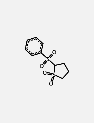 O=S1(=O)CCCC1S(=O)(=O)c1ccccc1